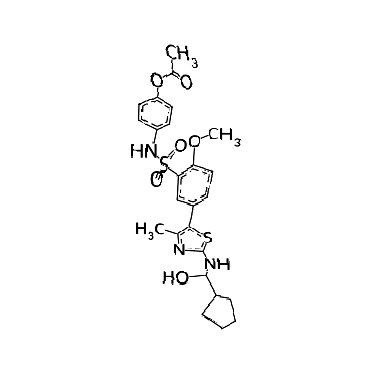 COc1ccc(-c2sc(NC(O)C3CCCC3)nc2C)cc1S(=O)(=O)Nc1ccc(OC(C)=O)cc1